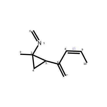 C=NC1(C)CC1C(=C)/C=C\C